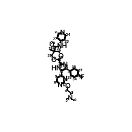 CN(C)CCOc1nccc(-c2[nH]c(C3OCC(C)(C(=O)Nc4ccncc4)CO3)nc2-c2ccc(F)cc2)n1